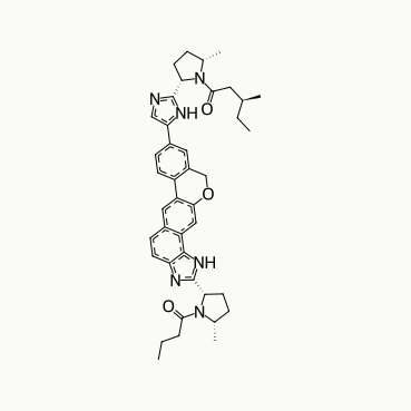 CCCC(=O)N1[C@@H](C)CC[C@H]1c1nc2ccc3cc4c(cc3c2[nH]1)OCc1cc(-c2cnc([C@@H]3CC[C@H](C)N3C(=O)C[C@@H](C)CC)[nH]2)ccc1-4